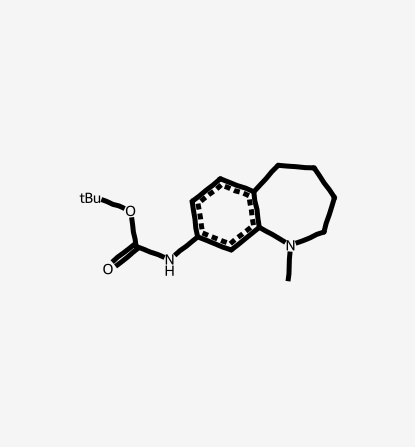 CN1CCCCc2ccc(NC(=O)OC(C)(C)C)cc21